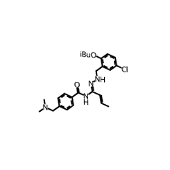 C/C=C/C(=N\NCc1cc(Cl)ccc1OCC(C)C)NC(=O)c1ccc(CN(C)C)cc1